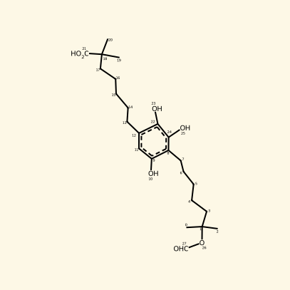 CC(C)(CCCCCc1c(O)cc(CCCCCC(C)(C)C(=O)O)c(O)c1O)OC=O